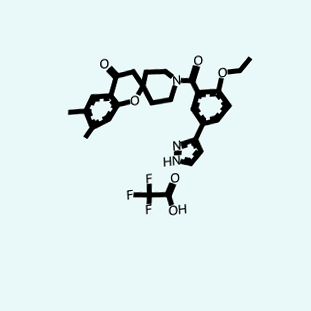 CCOc1ccc(-c2cc[nH]n2)cc1C(=O)N1CCC2(CC1)CC(=O)c1cc(C)c(C)cc1O2.O=C(O)C(F)(F)F